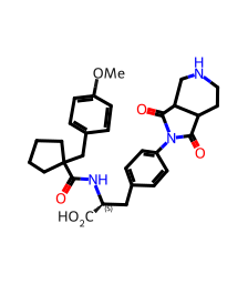 COc1ccc(CC2(C(=O)N[C@@H](Cc3ccc(N4C(=O)C5CCNCC5C4=O)cc3)C(=O)O)CCCC2)cc1